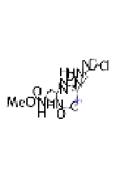 COC(=O)Nc1ccc2c(c1)NC(=O)CC/C=C/C[C@H](N1CCC(c3cc(Cl)ccn3)NC1=O)c1nc-2c[nH]1